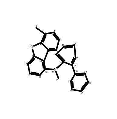 Cc1cccc2c1oc1cccc(N(C)c3ccccc3-c3ccccc3)c12